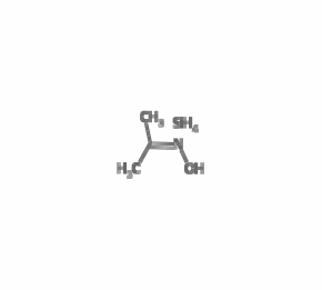 CC(C)=NO.[SiH4]